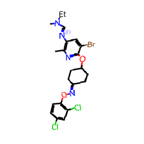 CCN(C)/C=N/c1cc(Br)c(OC2CCC(=NOc3ccc(Cl)cc3Cl)CC2)nc1C